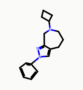 c1ccc(-n2cc3c(n2)CN(C2CCC2)CCC3)cc1